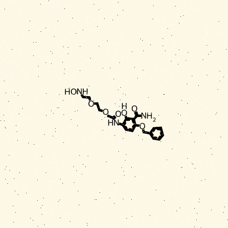 NC(=O)c1c(OCc2ccccc2)ccc(NC(=O)COCCOCCNO)c1O